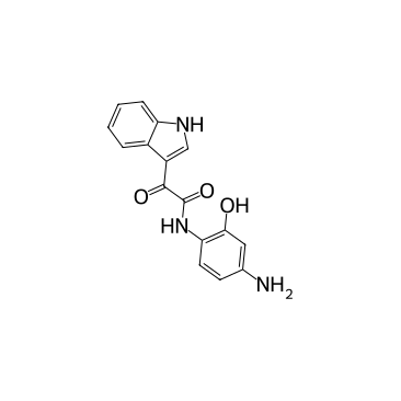 Nc1ccc(NC(=O)C(=O)c2c[nH]c3ccccc23)c(O)c1